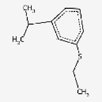 CCSc1[c]c(C(C)C)ccc1